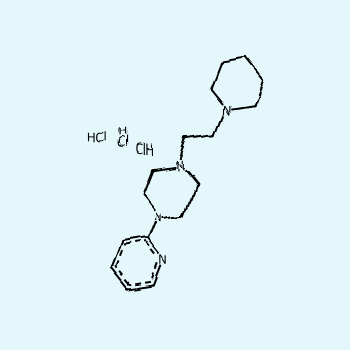 Cl.Cl.Cl.c1ccc(N2CCN(CCN3CCCCC3)CC2)nc1